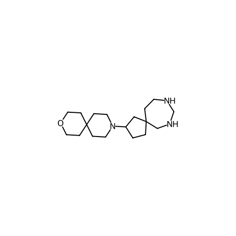 C1CC2(CCC(N3CCC4(CCOCC4)CC3)C2)CNCN1